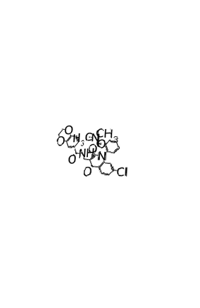 CN(C)C(=O)Oc1c(CNC(=O)c2ccc3c(c2)OCCO3)c(=O)c2ccc(Cl)cc2n1-c1ccccc1